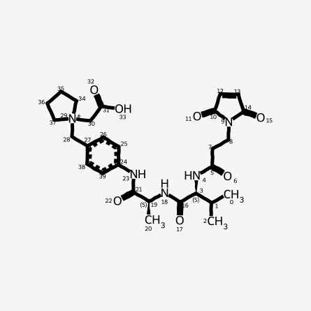 CC(C)[C@H](NC(=O)CCN1C(=O)C=CC1=O)C(=O)N[C@@H](C)C(=O)Nc1ccc(C[N+]2(CC(=O)O)CCCC2)cc1